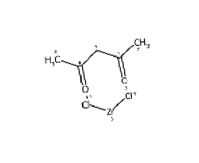 CC(=O)CC(C)=O.[Cl][Zr][Cl]